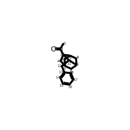 CC(=O)C12CC3CC(CC1C3)C2Cc1ccccc1